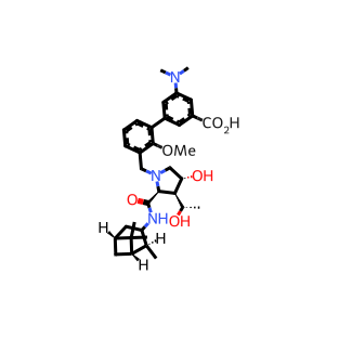 COc1c(CN2C[C@H](O)[C@@H]([C@H](C)O)[C@H]2C(=O)NC2C[C@H]3C[C@@H]([C@@H]2C)C3(C)C)cccc1-c1cc(C(=O)O)cc(N(C)C)c1